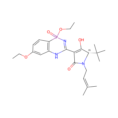 CCOc1ccc2c(c1)NC(C1=C(O)[C@H](C(C)(C)C)N(CC=C(C)C)C1=O)=NP2(=O)OCC